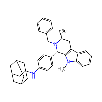 CCCC[C@H]1Cc2c(n(C)c3ccccc23)[C@H](c2ccc(NC34CC5CC(CC(C5)C3)C4)cc2)N1Cc1ccccc1